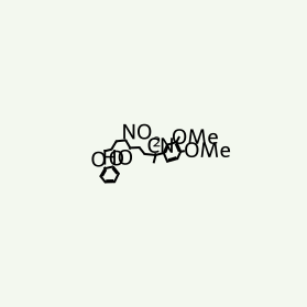 COc1ccc(C(C)(C#N)CCC(O)C(CC2COc3ccccc3O2)[N+](=O)[O-])cc1OC